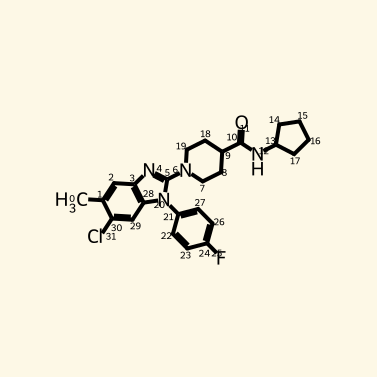 Cc1cc2nc(N3CCC(C(=O)NC4CCCC4)CC3)n(-c3ccc(F)cc3)c2cc1Cl